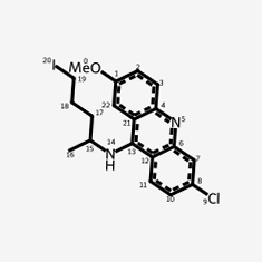 COc1ccc2nc3cc(Cl)ccc3c(NC(C)CCCI)c2c1